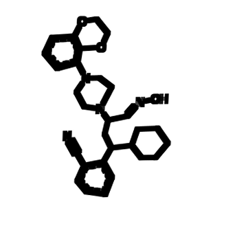 N#Cc1ccccc1C(CC(C=NO)N1CCN(c2cccc3c2OCCO3)CC1)C1CCCCC1